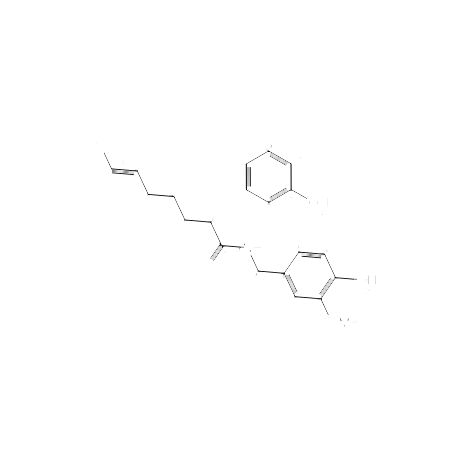 COc1cc(CNC(=O)CCCC/C=C/C(C)C)ccc1O.Oc1ccccc1